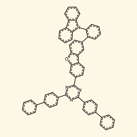 c1ccc(-c2ccc(-c3nc(-c4ccc(-c5ccccc5)cc4)nc(-c4ccc5c(c4)oc4ccc(-c6ccccc6-n6c7ccccc7c7ccccc76)cc45)n3)cc2)cc1